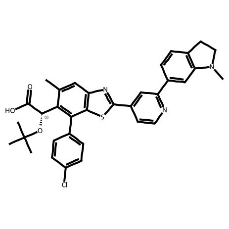 Cc1cc2nc(-c3ccnc(-c4ccc5c(c4)N(C)CC5)c3)sc2c(-c2ccc(Cl)cc2)c1[C@H](OC(C)(C)C)C(=O)O